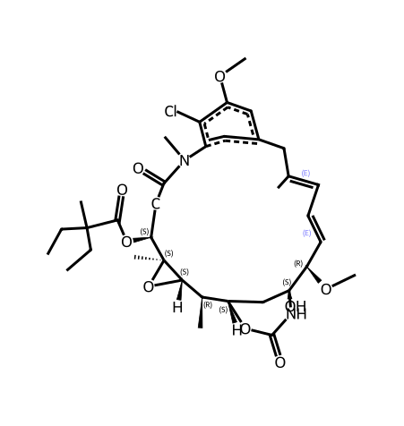 CCC(C)(CC)C(=O)O[C@H]1CC(=O)N(C)c2cc(cc(OC)c2Cl)C/C(C)=C/C=C/[C@@H](OC)[C@@]2(O)C[C@H](OC(=O)N2)[C@@H](C)[C@@H]2O[C@@]12C